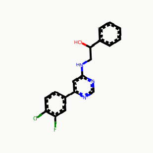 OC(CNc1cc(-c2ccc(Cl)c(F)c2)ncn1)c1ccccc1